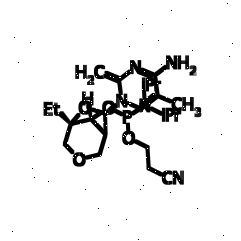 C=C1N=C(N)C(C)=CN1[C@@H]1O[C@@]2(CC)COCC1[C@H]2OP(OCCC#N)N(C(C)C)C(C)C